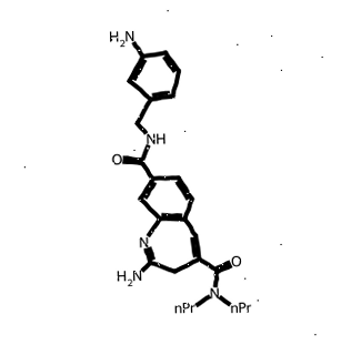 CCCN(CCC)C(=O)C1=Cc2ccc(C(=O)NCc3cccc(N)c3)cc2N=C(N)C1